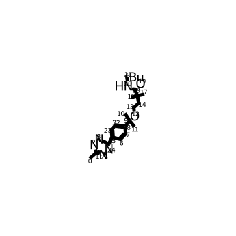 Cc1nnc(-c2ccc(C(C)(C)OCCC(C)(C)C(=O)NC(C)(C)C)cc2)nn1